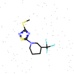 CSc1nsc(N2CCCC(C(F)(F)F)C2)n1